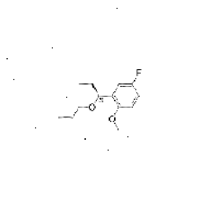 C=CCO[C@@H](CC)c1cc(F)ccc1OC